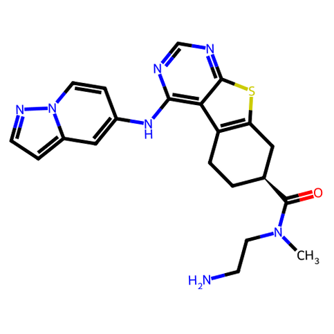 CN(CCN)C(=O)[C@H]1CCc2c(sc3ncnc(Nc4ccn5nccc5c4)c23)C1